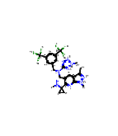 CNC1(c2nc3c(cc2CN(Cc2cc(C(F)(F)F)cc(C(F)(F)F)c2)c2nnn(C)n2)c(C)nn3C)CC1